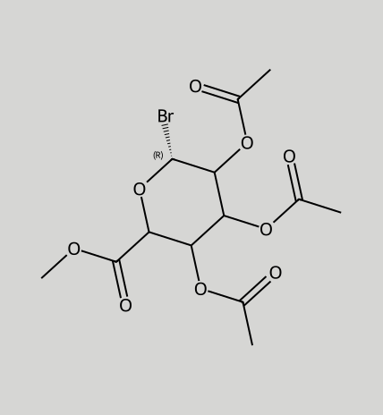 COC(=O)C1O[C@H](Br)C(OC(C)=O)C(OC(C)=O)C1OC(C)=O